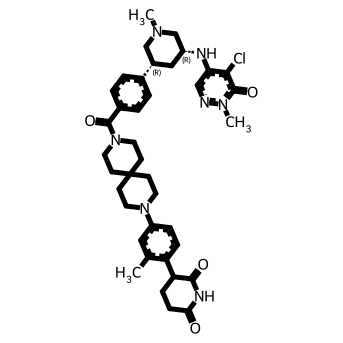 Cc1cc(N2CCC3(CCN(C(=O)c4ccc([C@H]5C[C@@H](Nc6cnn(C)c(=O)c6Cl)CN(C)C5)cc4)CC3)CC2)ccc1C1CCC(=O)NC1=O